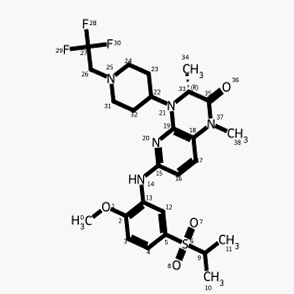 COc1ccc(S(=O)(=O)C(C)C)cc1Nc1ccc2c(n1)N(C1CCN(CC(F)(F)F)CC1)[C@H](C)C(=O)N2C